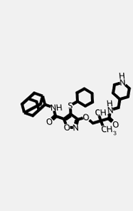 CC(C)(COc1noc(C(=O)NC2C3CC4CC(C3)CC2C4)c1SC1CCCCC1)C(=O)NCC1CCNCC1